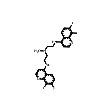 CN(CCNc1ccnc2c(F)c(F)ccc12)CCNc1ccnc2c(F)c(F)ccc12